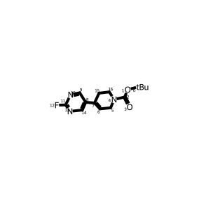 CC(C)(C)OC(=O)N1CC=C(c2cnc(F)nc2)CC1